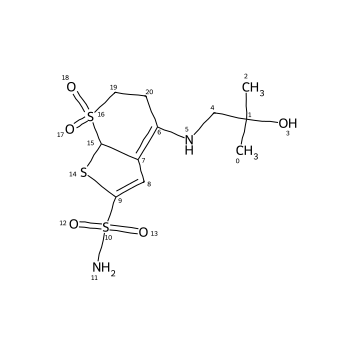 CC(C)(O)CNC1=C2C=C(S(N)(=O)=O)SC2S(=O)(=O)CC1